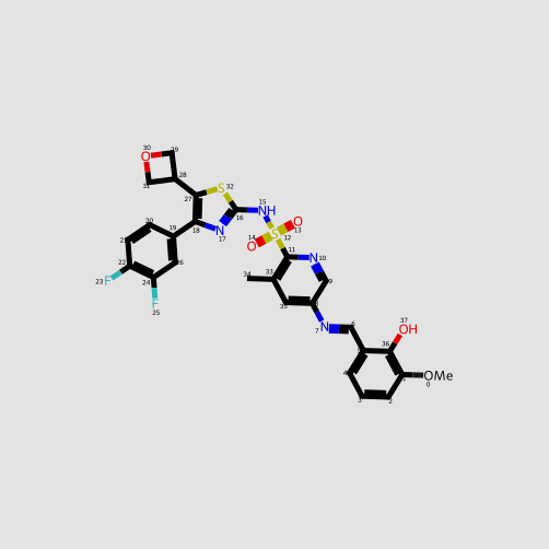 COc1cccc(/C=N/c2cnc(S(=O)(=O)Nc3nc(-c4ccc(F)c(F)c4)c(C4COC4)s3)c(C)c2)c1O